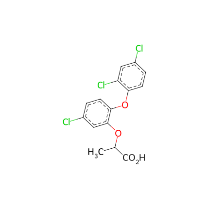 CC(Oc1cc(Cl)ccc1Oc1ccc(Cl)cc1Cl)C(=O)O